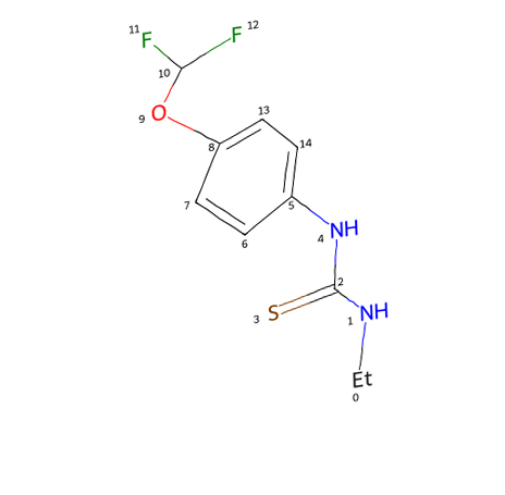 CCNC(=S)Nc1ccc(OC(F)F)cc1